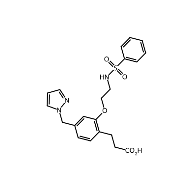 O=C(O)CCc1ccc(Cn2cccn2)cc1OCCNS(=O)(=O)c1ccccc1